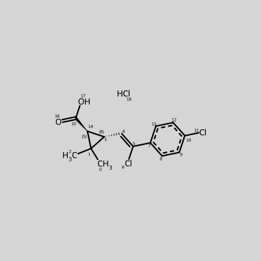 CC1(C)[C@@H](C=C(Cl)c2ccc(Cl)cc2)[C@@H]1C(=O)O.Cl